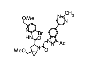 COCc1ccc(Br)c(NC(=O)[C@@H]2CC3(COC)CC3N2C(=O)Cn2nc(C(C)=O)c3cc(-c4cnc(C)nc4)ccc32)n1